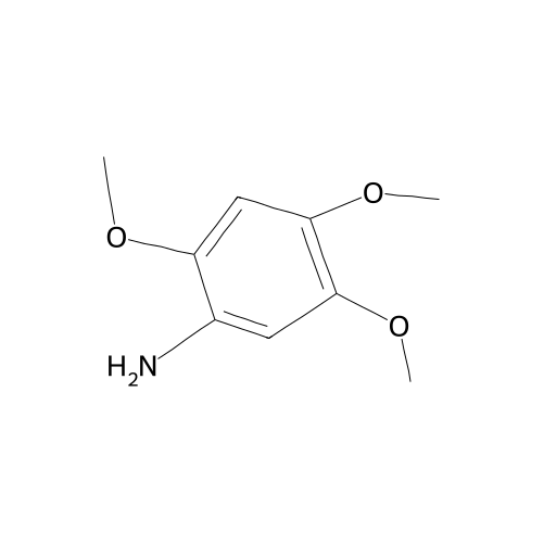 COc1cc(OC)c(OC)cc1N